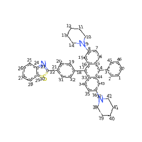 c1ccc(-c2c3ccc(N4CCCCC4)cc3c(-c3ccc(-c4nc5ccccc5s4)cc3)c3ccc(N4CCCCC4)cc23)cc1